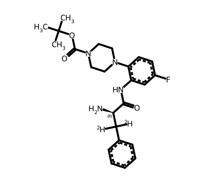 [2H]C([2H])(c1ccccc1)[C@@H](N)C(=O)Nc1cc(F)ccc1N1CCN(C(=O)OC(C)(C)C)CC1